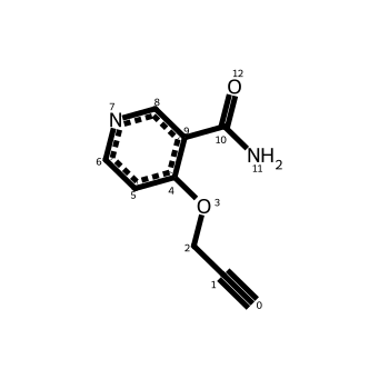 C#CCOc1ccncc1C(N)=O